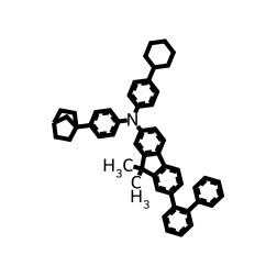 CC1(C)c2cc(-c3ccccc3-c3ccccc3)ccc2-c2ccc(N(c3ccc(C4CCCCC4)cc3)c3ccc(C45CCC(CC4)C5)cc3)cc21